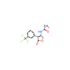 CC(=O)NC1=C(c2cccc(C(F)(F)F)c2)C(=O)OC1